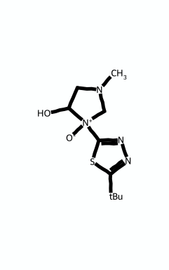 CN1CC(O)[N+]([O-])(c2nnc(C(C)(C)C)s2)C1